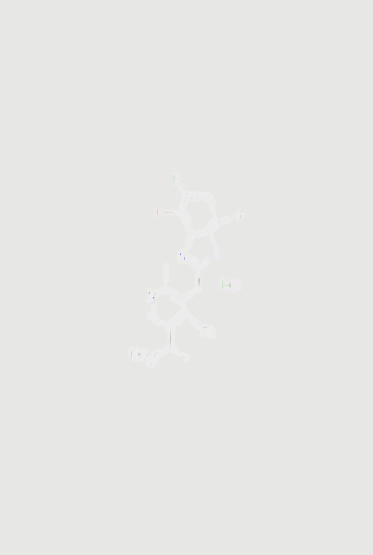 CCc1c(C(C)C(=O)O)cnc(C)c1Cc1nc2c(F)c(F)cc(F)c2s1.Cl